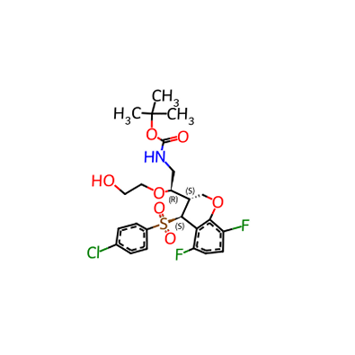 CC(C)(C)OC(=O)NC[C@H](OCCO)[C@@H]1COc2c(F)ccc(F)c2[C@H]1S(=O)(=O)c1ccc(Cl)cc1